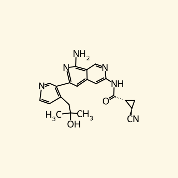 CC(C)(O)Cc1ccncc1-c1cc2cc(NC(=O)[C@@H]3C[C@H]3C#N)ncc2c(N)n1